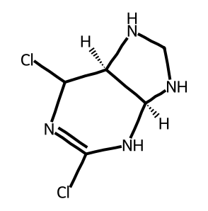 ClC1=NC(Cl)[C@H]2NCN[C@H]2N1